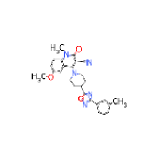 COc1ccc2c(c1)c(N1CCC(c3nc(-c4cccc(C)c4)no3)CC1)c(C#N)c(=O)n2C